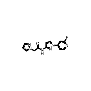 O=C(Cn1cccn1)Nc1ccn(-c2ccnc(F)c2)n1